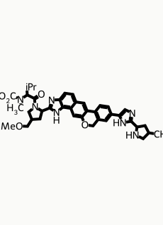 COCC1CC(c2nc3ccc4cc5c(cc4c3[nH]2)OCc2cc(-c3cnc(C4CC(C)CN4)[nH]3)ccc2-5)N(C(=O)C(C(C)C)N(C)C(=O)O)C1